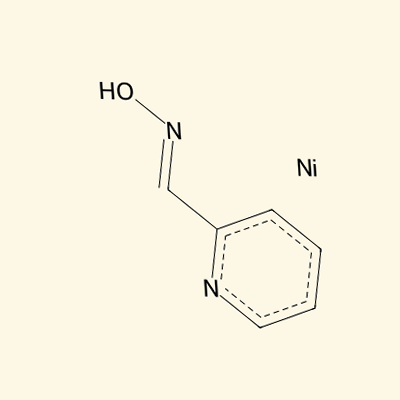 ON=Cc1ccccn1.[Ni]